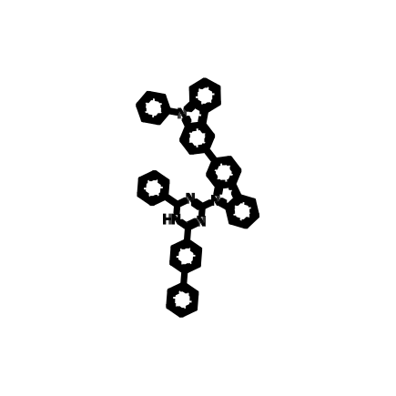 c1ccc(-c2ccc(C3=NC(n4c5ccccc5c5ccc(-c6ccc7c(c6)c6ccccc6n7-c6ccccc6)cc54)=NC(c4ccccc4)N3)cc2)cc1